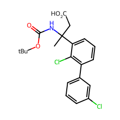 CC(C)(C)OC(=O)NC(C)(CC(=O)O)c1cccc(-c2cccc(Cl)c2)c1Cl